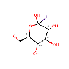 OC[C@H]1OC(O)(I)[C@H](O)[C@@H](O)[C@@H]1O